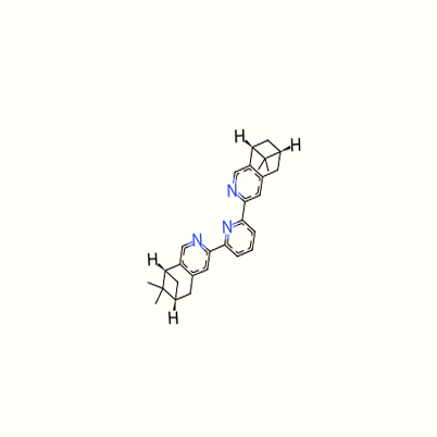 CC1(C)[C@H]2Cc3cc(-c4cccc(-c5cc6c(cn5)[C@@H]5C[C@H](C6)C5(C)C)n4)ncc3[C@@H]1C2